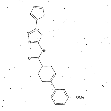 COc1cccc(C2=CCC(C(=O)Nc3nnc(-c4cccs4)o3)CC2)c1